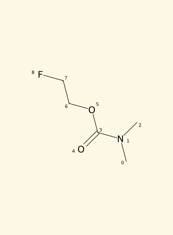 CN(C)C(=O)OCCF